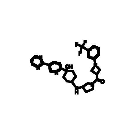 O=C(C1CN(c2cccc(C(F)(F)F)c2)C1)N1CCC(NC2CCC(O)(c3ccc(-c4ncccn4)cn3)CC2)C1